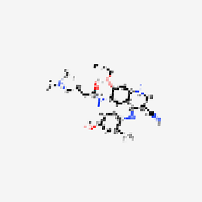 CCOc1cc2c(cc1NC(=O)CCCN(C)C)C(Nc1ccc(O)cc1C)C(C#N)CN2